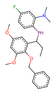 CCC(Pc1ccc(F)cc1N(C)C)c1cc(OC)cc(OC)c1OCc1ccccc1